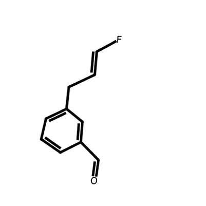 O=Cc1cccc(C/C=C/F)c1